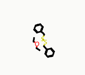 CCOCC.c1ccc(CSSCc2ccccc2)cc1